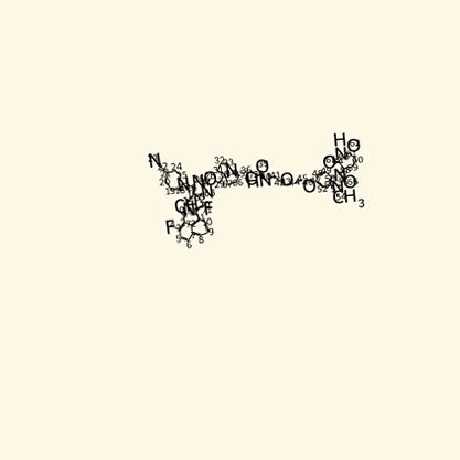 C#Cc1c(F)ccc2cccc(-c3ncc4c(N5CCCC(C#N)CC5)nc(OC[C@@]56CCCN5[C@H](COC(=O)NCCOCCOc5ccc7c(c5)n(C)c(=O)n7C5CCC(=O)NC5=O)CC6)nc4c3F)c12